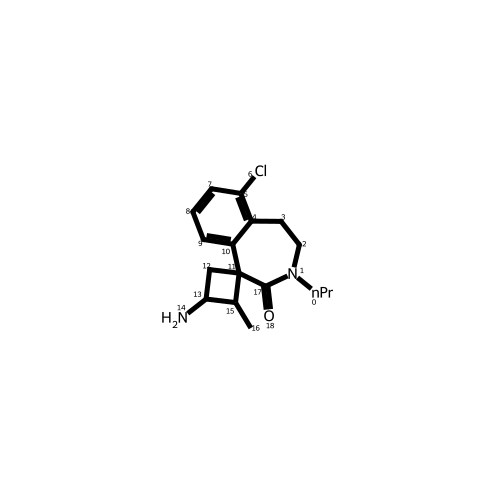 CCCN1CCc2c(Cl)cccc2C2(CC(N)C2C)C1=O